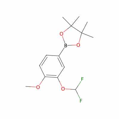 COc1ccc(B2OC(C)(C)C(C)(C)O2)cc1OC(F)F